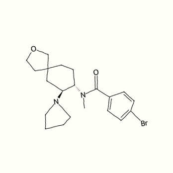 CN(C(=O)c1ccc(Br)cc1)[C@H]1CCC2(CCOC2)C[C@@H]1N1CCCC1